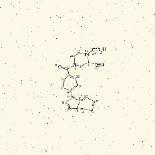 CC(C)(C)C1CN(C(=O)c2ccc(-n3cnc4ccccc43)cc2)CCN1C(=O)O